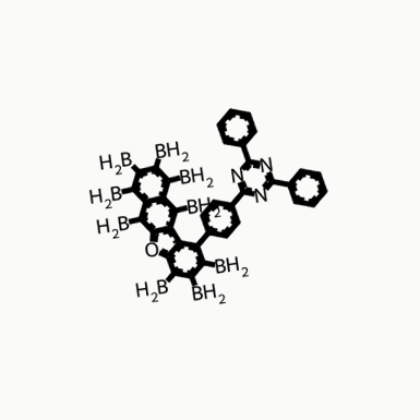 Bc1c(B)c(-c2ccc(-c3nc(-c4ccccc4)nc(-c4ccccc4)n3)cc2)c2c(oc3c(B)c4c(B)c(B)c(B)c(B)c4c(B)c32)c1B